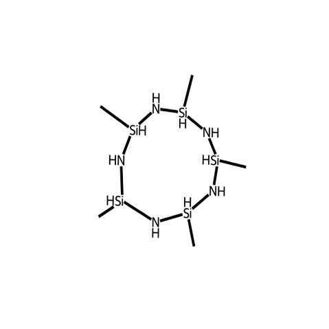 C[SiH]1N[SiH](C)N[SiH](C)N[SiH](C)N[SiH](C)N1